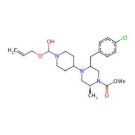 C=CCOC(O)N1CCC(N2C[C@H](C)N(C(=O)OC)CC2Cc2ccc(Cl)cc2)CC1